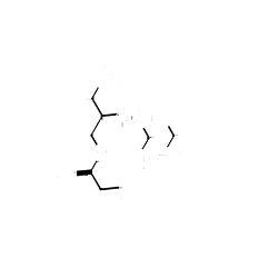 CCC(C)CC(=O)O.CCC(C)CC(=O)O.CCC(C)CC(=O)OCC(O)CO